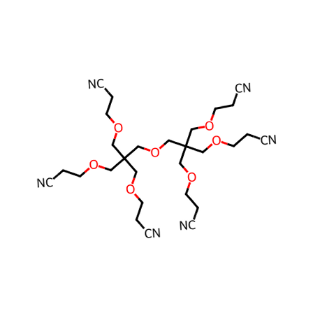 N#CCCOCC(COCCC#N)(COCCC#N)COCC(COCCC#N)(COCCC#N)COCCC#N